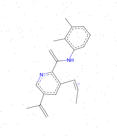 C=C(C)c1cnc(C(=C)Nc2cccc(C)c2C)c(/C=C\C)c1